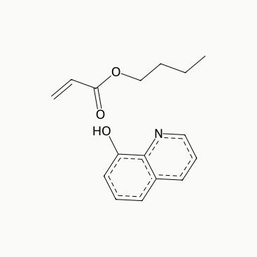 C=CC(=O)OCCCC.Oc1cccc2cccnc12